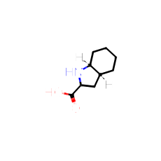 O=C(O)C1C[C@H]2CCCC[C@H]2N1